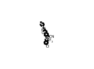 CN1CCN(C2=NC(=O)/C(=C\c3ccc4c(c3)c(C#N)nn4Cc3ccc(Cl)cc3C(F)(F)F)S2)CC1